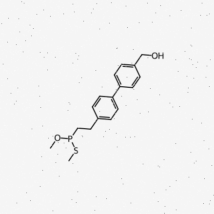 COP(CCc1ccc(-c2ccc(CO)cc2)cc1)SC